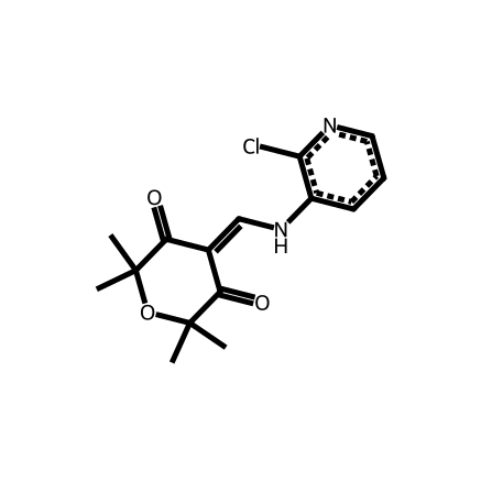 CC1(C)OC(C)(C)C(=O)C(=CNc2cccnc2Cl)C1=O